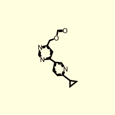 O=COCc1cc(-c2ccc(C3CC3)nc2)ncn1